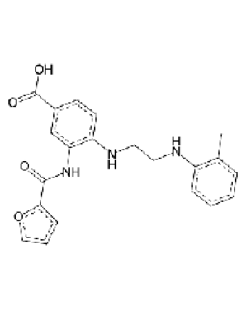 Cc1ccccc1NCCNc1ccc(C(=O)O)cc1NC(=O)c1ccco1